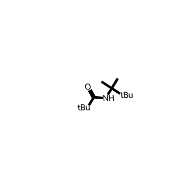 CC(C)(C)C(=O)NC(C)(C)C(C)(C)C